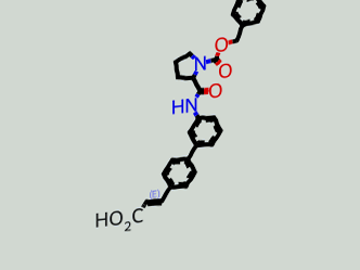 O=C(O)/C=C/c1ccc(-c2cccc(NC(=O)C3CCCN3C(=O)OCc3ccccc3)c2)cc1